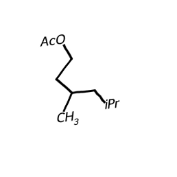 CC(=O)OCCC(C)CC(C)C